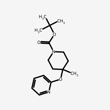 CC(C)(C)OC(=O)N1CCC(C)(Oc2ccccn2)CC1